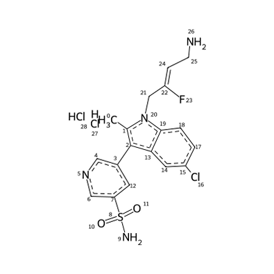 Cc1c(-c2cncc(S(N)(=O)=O)c2)c2cc(Cl)ccc2n1CC(F)=CCN.Cl.Cl